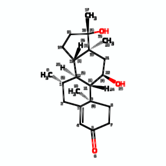 C[C@H]1CC2=CC(=O)CC[C@]2(C)[C@@H]2[C@@H]1[C@@H]1CC[C@](C)(O)[C@@]1(C)C[C@H]2O